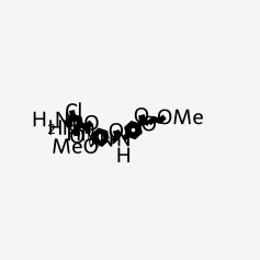 COCCOC(=O)c1ccc(NC(=O)CN2CC[C@H](NC(=O)c3cc(Cl)c(N)[nH]c3=O)[C@H](OC)C2)cc1